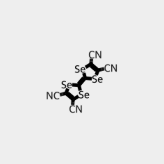 N#CC1=C(C#N)[Se]C(=C2[Se]C(C#N)=C(C#N)[Se]2)[Se]1